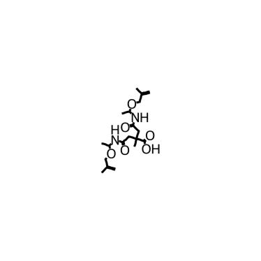 C=C(C)COC(C)NC(=O)CC(C)(CC(=O)NC(C)OCC(=C)C)C(=O)O